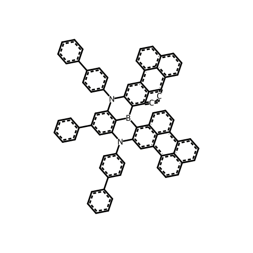 c1ccc(-c2ccc(N3c4cc(-c5ccccc5)cc5c4B(c4c3cc3c6cccc7cccc(c8cccc4c83)c76)c3c(cc4c6cccc7cccc(c8cccc3c84)c76)N5c3ccc(-c4ccccc4)cc3)cc2)cc1